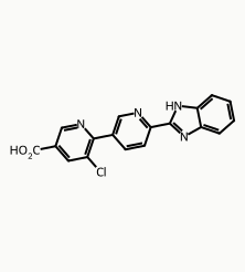 O=C(O)c1cnc(-c2ccc(-c3nc4ccccc4[nH]3)nc2)c(Cl)c1